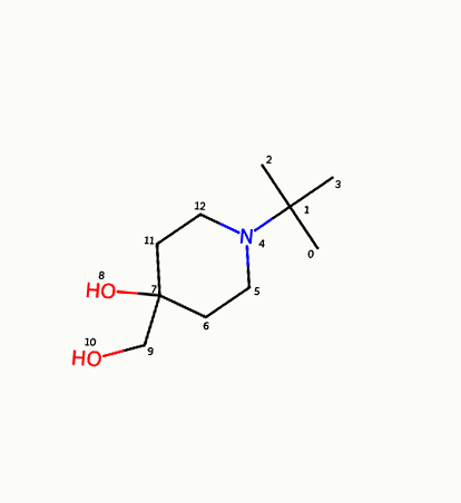 CC(C)(C)N1CCC(O)(CO)CC1